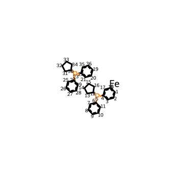 [Fe].c1ccc(P(c2ccccc2)C2CCCC2)cc1.c1ccc(P(c2ccccc2)C2CCCC2)cc1